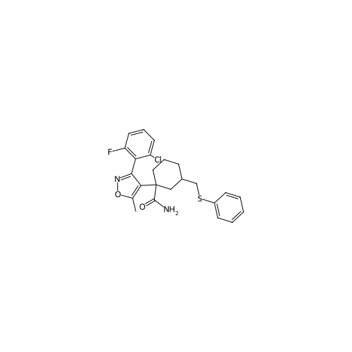 Cc1onc(-c2c(F)cccc2Cl)c1C1(C(N)=O)CCCC(CSc2ccccc2)C1